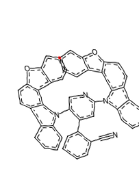 N#Cc1ccccc1-c1cc(-n2c3ccccc3c3ccc4oc5ccccc5c4c32)ncc1-n1c2ccccc2c2ccc3oc4ccccc4c3c21